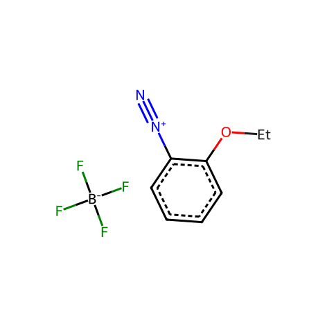 CCOc1ccccc1[N+]#N.F[B-](F)(F)F